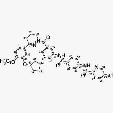 COc1ccc(C2=NN(C(=O)c3cccc(NC(=O)c4ccc(NC(=O)c5ccc(Cl)cc5)cc4)c3)CCC2)cc1OC1CCCC1